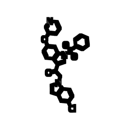 O=C(Cn1ccc2cc(Cl)ccc21)c1cn(S(=O)(=O)c2ccccc2)c2cc(Oc3cccnc3)ccc12